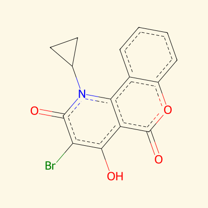 O=c1oc2ccccc2c2c1c(O)c(Br)c(=O)n2C1CC1